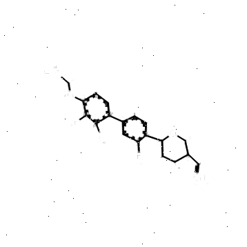 C=CC1CCC(c2ccc(-c3ccc(OCC)c(F)c3F)cc2F)OC1